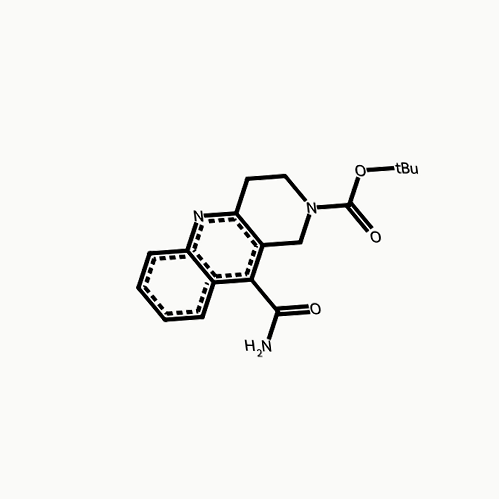 CC(C)(C)OC(=O)N1CCc2nc3ccccc3c(C(N)=O)c2C1